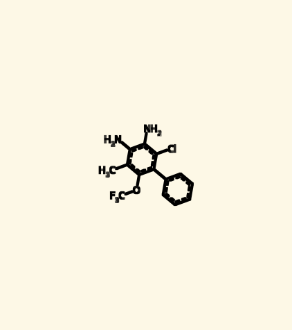 Cc1c(N)c(N)c(Cl)c(-c2ccccc2)c1OC(F)(F)F